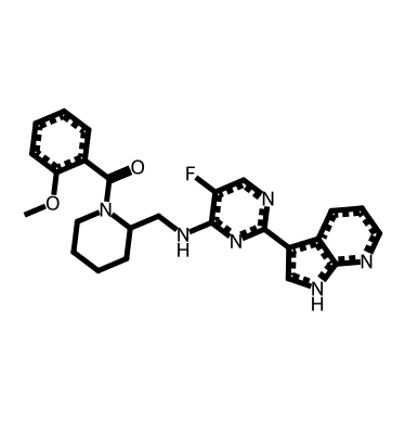 COc1ccccc1C(=O)N1CCCCC1CNc1nc(-c2c[nH]c3ncccc23)ncc1F